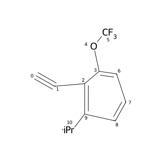 C#Cc1c(OC(F)(F)F)cccc1[C](C)C